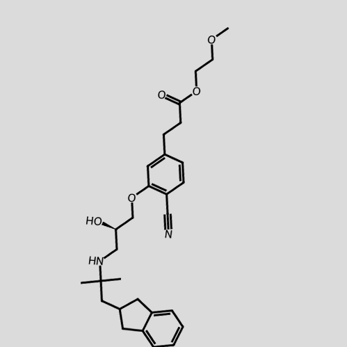 COCCOC(=O)CCc1ccc(C#N)c(OC[C@H](O)CNC(C)(C)CC2Cc3ccccc3C2)c1